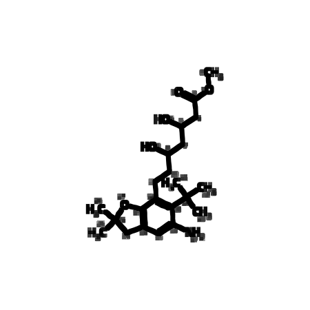 COC(=O)CC(O)CC(O)CCc1c2c(cc(N)c1C(C)(C)C)CC(C)(C)O2